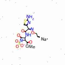 C=CCON=C(C(=O)NC1C(=O)N(S(=O)(=O)[O-])C1C(=O)OC)c1csc(N)n1.[Na+]